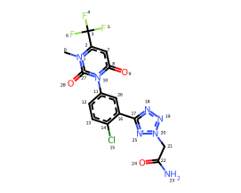 Cn1c(C(F)(F)F)cc(=O)n(-c2ccc(Cl)c(-c3nnn(CC(N)=O)n3)c2)c1=O